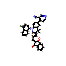 CC1(C)c2cc(-c3ccncc3C#N)ccc2N(c2ccc(F)c3ccccc23)c2sc(C=C3C(=O)c4ccccc4C3=O)cc21